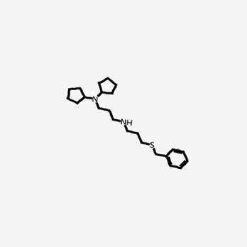 c1ccc(CSCCCNCCCN(C2CCCC2)C2CCCC2)cc1